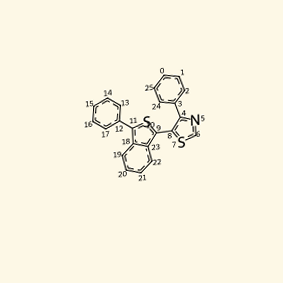 c1ccc(-c2ncsc2-c2sc(-c3ccccc3)c3ccccc23)cc1